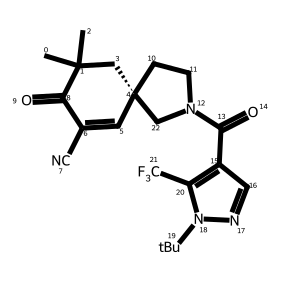 CC1(C)C[C@]2(C=C(C#N)C1=O)CCN(C(=O)c1cnn(C(C)(C)C)c1C(F)(F)F)C2